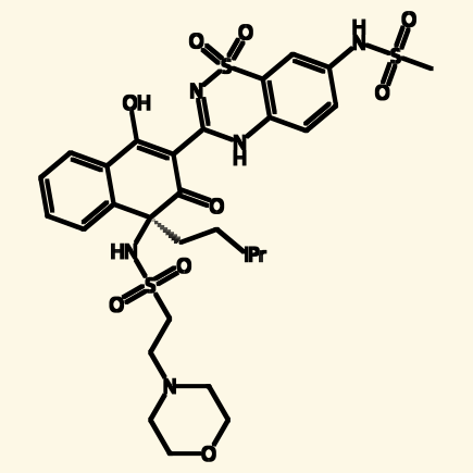 CC(C)CC[C@@]1(NS(=O)(=O)CCN2CCOCC2)C(=O)C(C2=NS(=O)(=O)c3cc(NS(C)(=O)=O)ccc3N2)=C(O)c2ccccc21